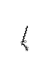 CCCCCCCCCCCC(=O)O[C@H](C)CCN=[N+]=[N-]